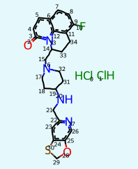 Cl.Cl.O=c1ccc2ccc(F)c3c2n1C(CN1CCC(NCc2cc4c(cn2)OCS4)CC1)CC3